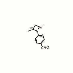 C[C@H]1C[C@H](C)N1c1ccc(C=O)cn1